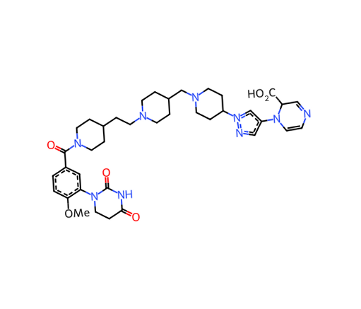 COc1ccc(C(=O)N2CCC(CCN3CCC(CN4CCC(n5cc(N6C=CN=CC6C(=O)O)cn5)CC4)CC3)CC2)cc1N1CCC(=O)NC1=O